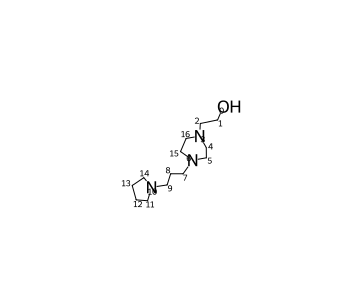 OCCN1CCN(CCCN2CCCC2)CC1